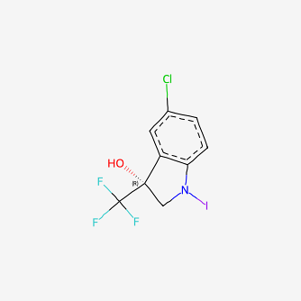 O[C@@]1(C(F)(F)F)CN(I)c2ccc(Cl)cc21